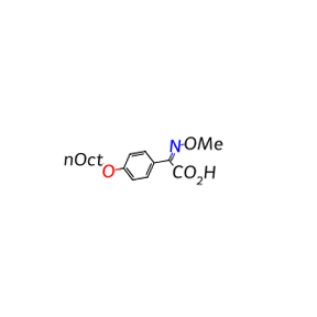 CCCCCCCCOc1ccc(C(=NOC)C(=O)O)cc1